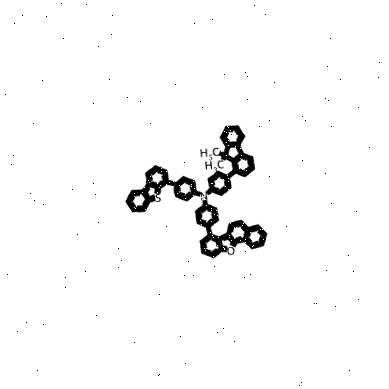 CC1(C)c2ccccc2-c2cccc(-c3ccc(N(c4ccc(-c5cccc6c5sc5ccccc56)cc4)c4ccc(-c5cccc6oc7c8ccccc8ccc7c56)cc4)cc3)c21